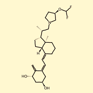 C=C1/C(=C\C=C2/CCC[C@]3(C)[C@@H]([C@H](C)CN4CC[C@@H](OC(F)F)C4)CC[C@@H]23)C[C@@H](O)C[C@@H]1O